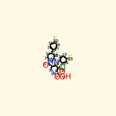 O=C(c1cnc(S(=O)(=O)O)c(Cl)c1Nc1ccc(F)cc1F)N1CCC(c2ccc(F)cc2)CC1